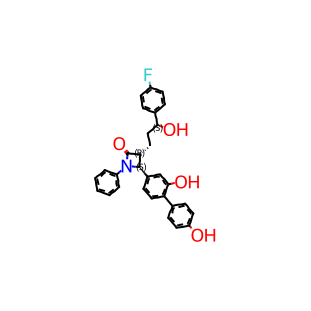 O=C1[C@H](CC[C@H](O)c2ccc(F)cc2)[C@@H](c2ccc(-c3ccc(O)cc3)c(O)c2)N1c1ccccc1